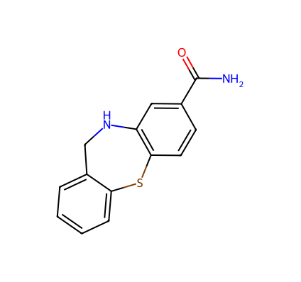 NC(=O)c1ccc2c(c1)NCc1ccccc1S2